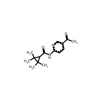 CC(=O)c1ccc(NC(=O)C2C(C)(C)C2(C)C)nc1